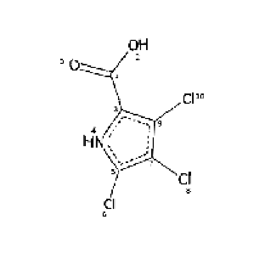 O=C(O)c1[nH]c(Cl)c(Cl)c1Cl